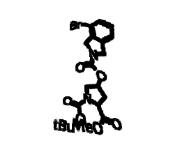 COC(=O)C1CC(OC(=O)N2Cc3cccc(Br)c3C2)CN1C(=O)OC(C)(C)C